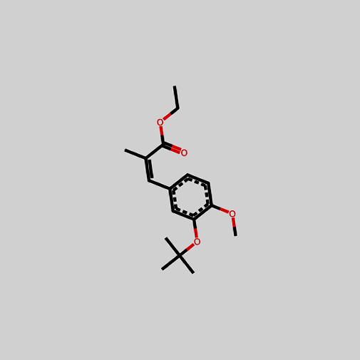 CCOC(=O)C(C)=Cc1ccc(OC)c(OC(C)(C)C)c1